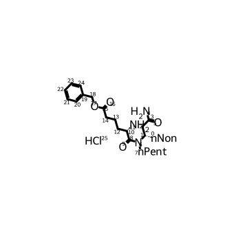 CCCCCCCCC[C@@H](CC(N)=O)N(CCCCC)C(=O)[C@@H](N)CCCC(=O)OCc1ccccc1.Cl